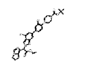 CCOC(=O)C(c1ncn2c1CCC2)n1cc2c(Cl)cc(-c3ccc(N4CCN(C(=O)OC(C)(C)C)CC4)c(Cl)c3)cc2n1